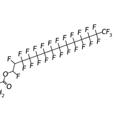 C=CC(=O)OC(F)C(F)C(F)(F)C(F)(F)C(F)(F)C(F)(F)C(F)(F)C(F)(F)C(F)(F)C(F)(F)C(F)(F)C(F)(F)C(F)(F)C(F)(F)F